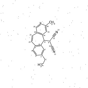 CCc1ccc2c(c1)C(C(C#N)C#N)c1cc(C)ccc1C=C2